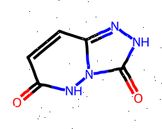 O=c1ccc2n[nH]c(=O)n2[nH]1